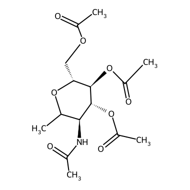 CC(=O)N[C@H]1C(C)O[C@H](COC(C)=O)[C@@H](OC(C)=O)[C@@H]1OC(C)=O